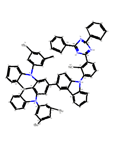 Cc1cc(N2c3ccccc3B3c4ccccc4N(c4cc(C(C)(C)C)cc(C(C)(C)C)c4)c4cc(-c5ccc6c(c5)c5ccccc5n6-c5cccc(-c6nc(-c7ccccc7)nc(-c7ccccc7)n6)c5C#N)cc2c43)cc(C(C)(C)C)c1